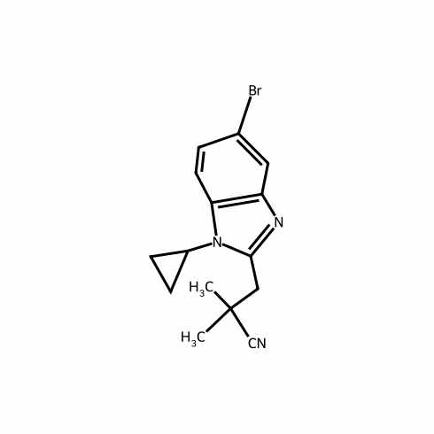 CC(C)(C#N)Cc1nc2cc(Br)ccc2n1C1CC1